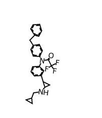 O=C(N(c1ccc(Cc2ccccc2)cc1)c1cccc(C2CC2NCC2CC2)c1)C(F)(F)F